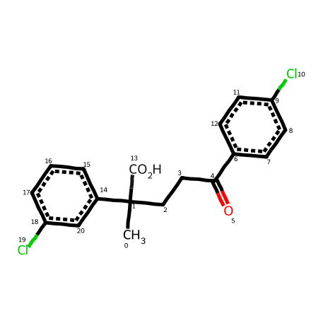 CC(CCC(=O)c1ccc(Cl)cc1)(C(=O)O)c1cccc(Cl)c1